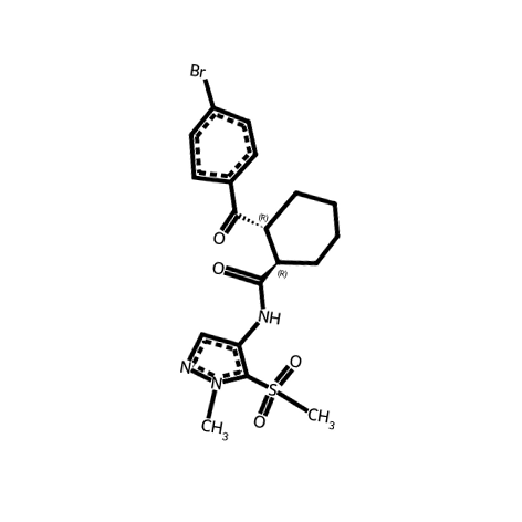 Cn1ncc(NC(=O)[C@@H]2CCCC[C@H]2C(=O)c2ccc(Br)cc2)c1S(C)(=O)=O